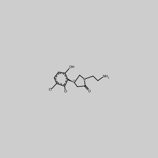 NCCN1C[C@H](c2c(O)ccc(Cl)c2Cl)CC1=O